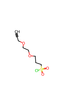 C#CCOCCOCCCS(=O)(=O)Cl